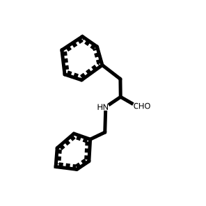 O=CC(Cc1ccccc1)NCc1ccccc1